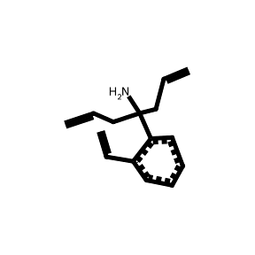 C=CCC(N)(CC=C)c1ccccc1C=C